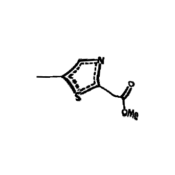 COC(=O)c1ncc(C)s1